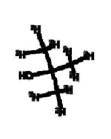 [2H]C([2H])([2H])C(O)(C([2H])([2H])[2H])C([2H])([2H])[2H]